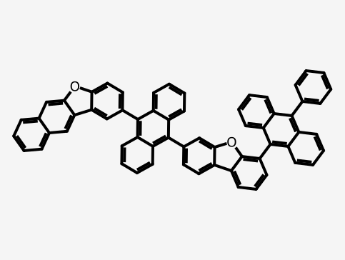 c1ccc(-c2c3ccccc3c(-c3cccc4c3oc3cc(-c5c6ccccc6c(-c6ccc7oc8cc9ccccc9cc8c7c6)c6ccccc56)ccc34)c3ccccc23)cc1